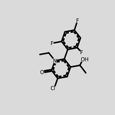 CCn1c(-c2c(F)cc(F)cc2F)c(C(C)O)cc(Cl)c1=O